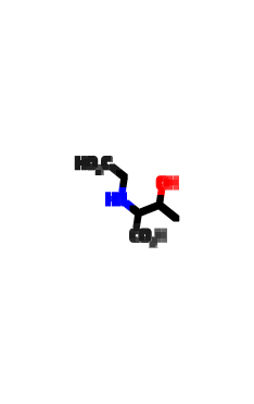 CC(O)C(NCC(=O)O)C(=O)O